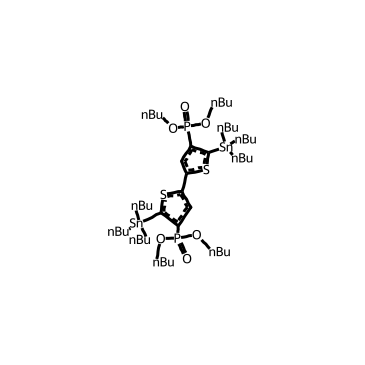 CCCCOP(=O)(OCCCC)c1cc(-c2cc(P(=O)(OCCCC)OCCCC)[c]([Sn]([CH2]CCC)([CH2]CCC)[CH2]CCC)s2)s[c]1[Sn]([CH2]CCC)([CH2]CCC)[CH2]CCC